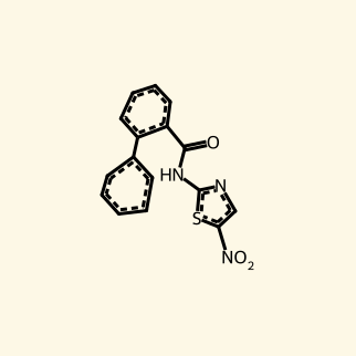 O=C(Nc1ncc([N+](=O)[O-])s1)c1ccccc1-c1ccccc1